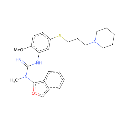 COc1ccc(SCCCN2CCCCC2)cc1NC(=N)N(C)c1occ2ccccc12